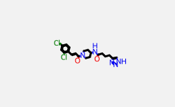 O=C(CCCc1c[nH]nn1)NC1CCN(C(=O)C=Cc2ccc(Cl)cc2Cl)CC1